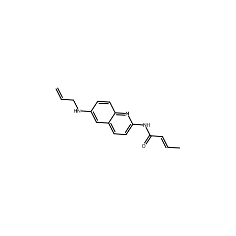 C=CCNc1ccc2nc(NC(=O)C=CC)ccc2c1